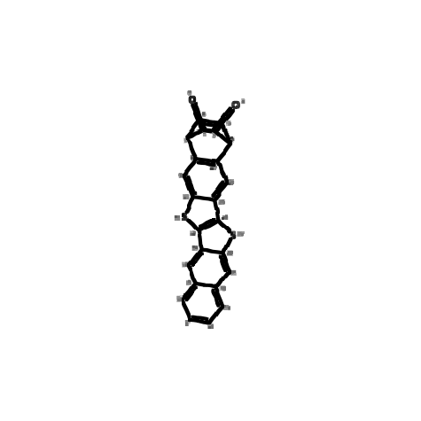 O=C1C(=O)C2C=CC1c1cc3sc4c5cc6ccccc6cc5sc4c3cc12